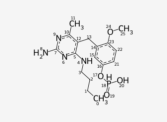 CCCCNc1nc(N)nc(C)c1Cc1cc(O[PH](=O)O)ccc1OC